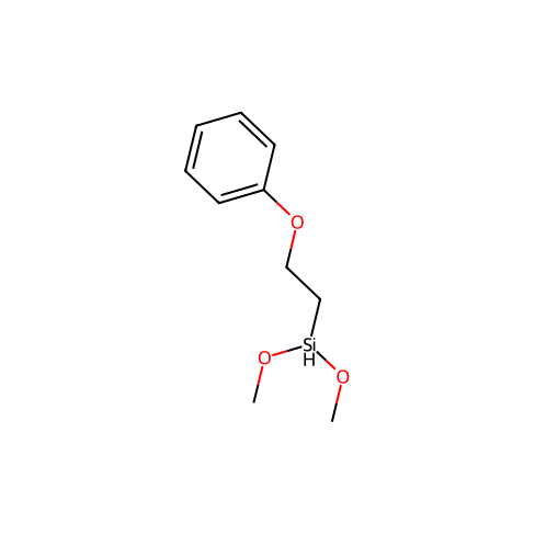 CO[SiH](CCOc1ccccc1)OC